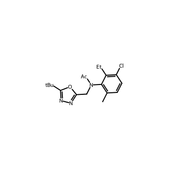 CCc1c(Cl)ccc(C)c1N(Cc1nnc(C(C)(C)C)o1)C(C)=O